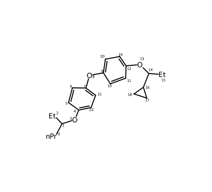 CCCC(CC)Oc1ccc(Oc2ccc(OC(CC)C3CC3)cc2)cc1